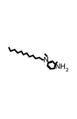 CCCCCCCCCCCCN(CC)C1=CC(C)(N)CC=C1